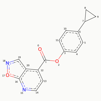 O=C(Oc1ccc(C2CC2)cc1)c1ccnc2oncc12